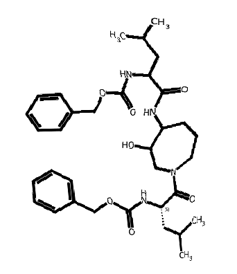 CC(C)CC(NC(=O)OCc1ccccc1)C(=O)NC1CCCN(C(=O)[C@H](CC(C)C)NC(=O)OCc2ccccc2)CC1O